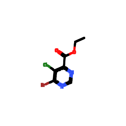 CCOC(=O)c1ncnc(Br)c1Cl